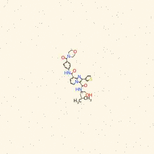 CC(C)C[C@@H](CO)NC(=O)c1c(-c2ccsc2)nc2c(C(=O)Nc3ccc(C(=O)N4CCOCC4)cc3)cccn12